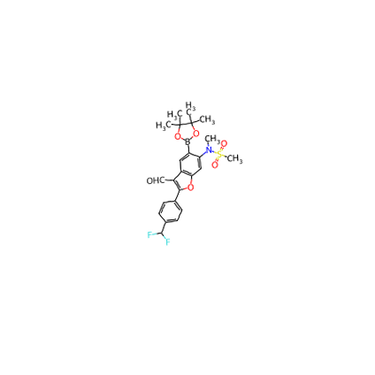 CN(c1cc2oc(-c3ccc(C(F)F)cc3)c(C=O)c2cc1B1OC(C)(C)C(C)(C)O1)S(C)(=O)=O